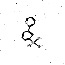 CC(C)[Si](c1cccc(-c2ccccn2)c1)(C(C)C)C(C)C